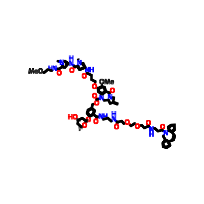 C=C1CC2CN(C(=O)OCc3ccc(O[C@H]4C[C@@H](O)C[C@@H](C)O4)c(C(=O)NCCCNC(=O)CCOCCOCCC(=O)NCCC(=O)N4Cc5ccccc5C#Cc5ccccc54)c3)c3cc(OCCCC(=O)Nc4cc(C(=O)Nc5cc(C(=O)NCCCOC)n(C)c5)n(C)c4)c(OC)cc3C(=O)N2C1